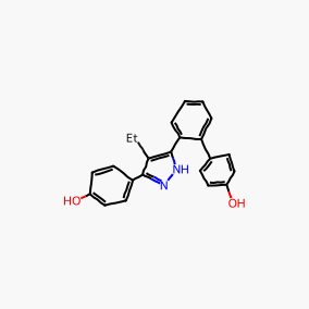 CCc1c(-c2ccc(O)cc2)n[nH]c1-c1ccccc1-c1ccc(O)cc1